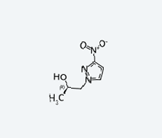 C[C@@H](O)Cn1ccc([N+](=O)[O-])n1